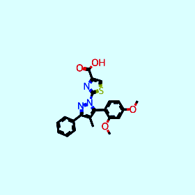 COc1ccc(-c2c(C)c(-c3ccccc3)nn2-c2nc(C(=O)O)cs2)c(OC)c1